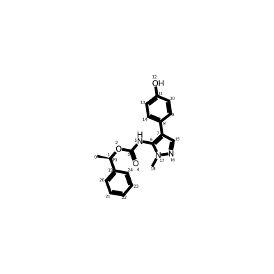 C[C@@H](OC(=O)Nc1c(-c2ccc(O)cc2)cnn1C)c1ccccc1